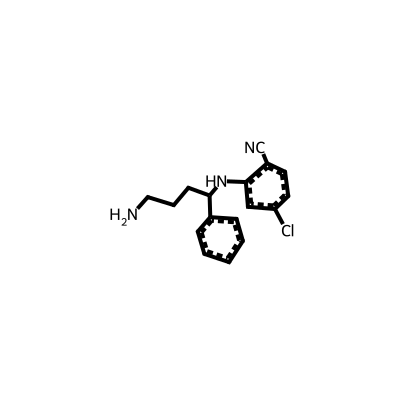 N#Cc1ccc(Cl)cc1NC(CCCN)c1ccccc1